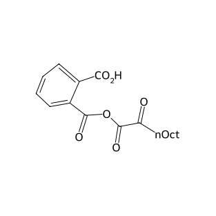 CCCCCCCCC(=O)C(=O)OC(=O)c1ccccc1C(=O)O